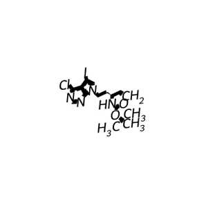 C=C[C@@H](CCn1cc(I)c2c(Cl)ncnc21)NC(=O)OC(C)(C)C